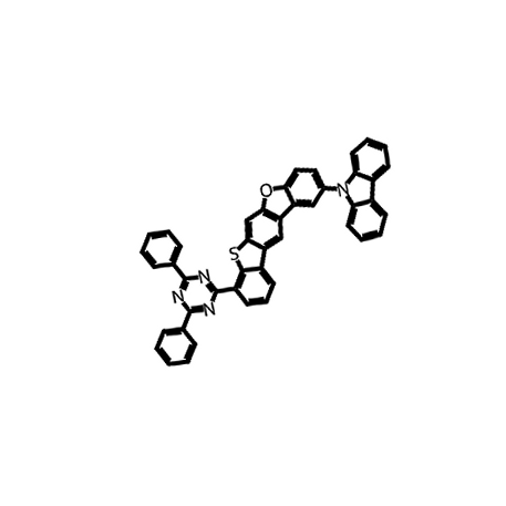 c1ccc(-c2nc(-c3ccccc3)nc(-c3cccc4c3sc3cc5oc6ccc(-n7c8ccccc8c8ccccc87)cc6c5cc34)n2)cc1